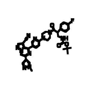 Cn1cc(-c2cn3ncc(C#N)c3c(-c3ccc(N4CCN(C(=O)C(CNC(=O)OC(C)(C)C)c5ccc(F)cc5)CC4)nc3)n2)cn1